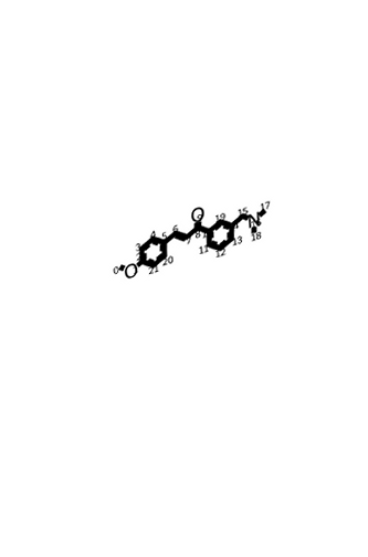 COc1ccc(/C=C/C(=O)c2cccc(CN(C)C)c2)cc1